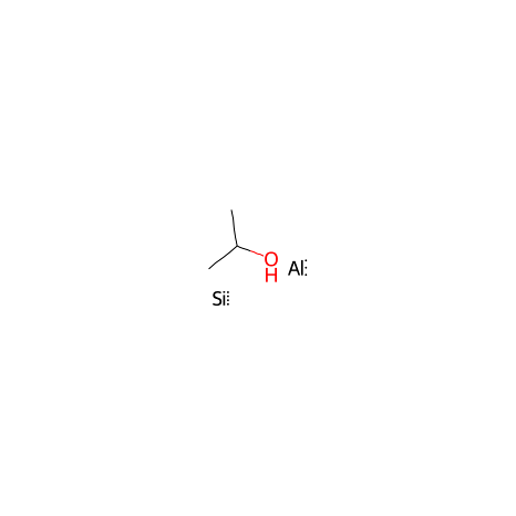 CC(C)O.[Al].[Si]